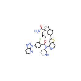 CC(C)(C(N)=O)c1cccc(-c2cc3c(N(C(=O)c4ccc(-n5nnc6cccnc65)cc4F)[C@@H]4CCCNC4)nccc3s2)c1